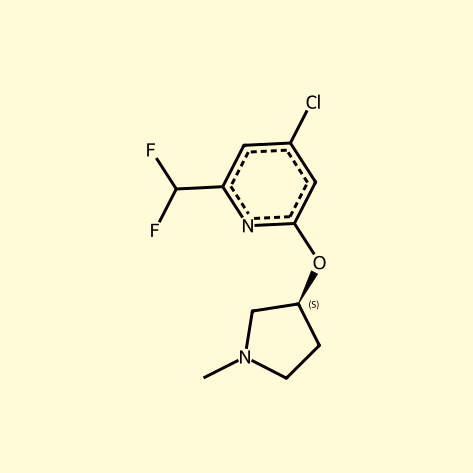 CN1CC[C@H](Oc2cc(Cl)cc(C(F)F)n2)C1